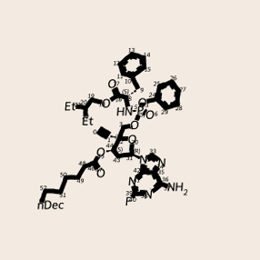 C#C[C@]1(CO[P@@](=O)(N[C@@H](Cc2ccccc2)C(=O)OCC(CC)CC)Oc2ccccc2)O[C@@H](n2cnc3c(N)nc(F)nc32)C[C@@H]1OC(=O)CCCCCCCCCCCCCCC